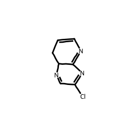 ClC1=NC2=NC=CCC2N=C1